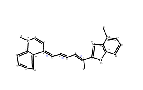 C\C(=C/C=C/C=C1\C=CN(C)c2ccccc21)c1nc2c(ccc[n+]2C)o1